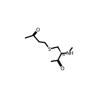 CN[C@H](CSCCC(C)=O)C(C)=O